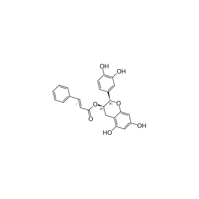 O=C(/C=C/c1ccccc1)O[C@@H]1Cc2c(O)cc(O)cc2O[C@@H]1c1ccc(O)c(O)c1